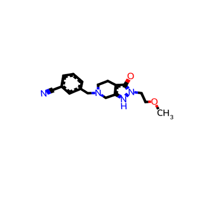 COCCn1[nH]c2c(c1=O)CCN(Cc1cccc(C#N)c1)C2